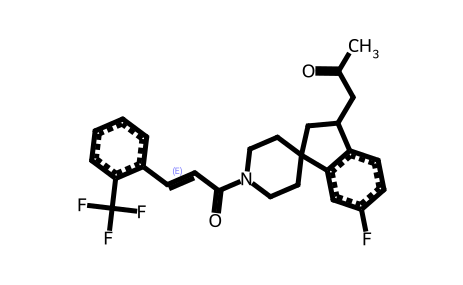 CC(=O)CC1CC2(CCN(C(=O)/C=C/c3ccccc3C(F)(F)F)CC2)c2cc(F)ccc21